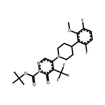 COc1c(F)ccc(F)c1C1CCN(c2cnn(C(=O)OC(C)(C)C)c(=O)c2C(F)(F)F)CC1